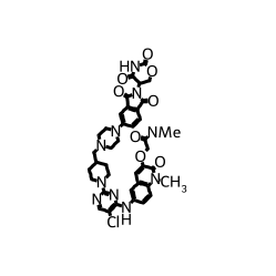 CNC(=O)COc1cc2cc(Nc3nc(N4CCC(CN5CCN(c6ccc7c(c6)C(=O)N(C6COC(=O)NC6=O)C7=O)CC5)CC4)ncc3Cl)ccc2n(C)c1=O